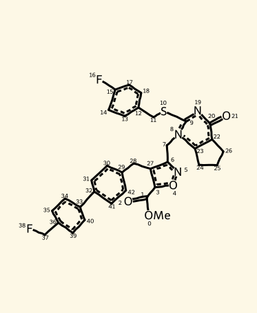 COC(=O)c1onc(Cn2c(SCc3ccc(F)cc3)nc(=O)c3c2CCC3)c1Cc1ccc(-c2ccc(CF)cc2)cc1